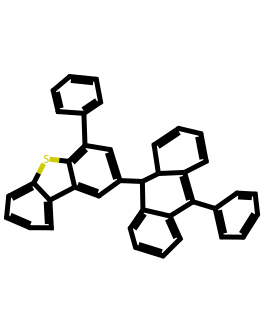 C1=CC2=C(c3ccccc3)c3ccccc3C(c3cc(-c4ccccc4)c4sc5ccccc5c4c3)C2C=C1